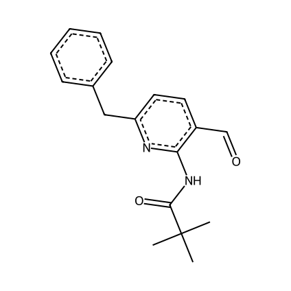 CC(C)(C)C(=O)Nc1nc(Cc2ccccc2)ccc1C=O